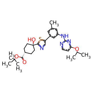 Cc1cc(Nc2nccc(OC(C)C)n2)cc(-c2cnc([C@]3(O)CC[C@H](C(=O)OC(C)(C)C)CC3)s2)c1